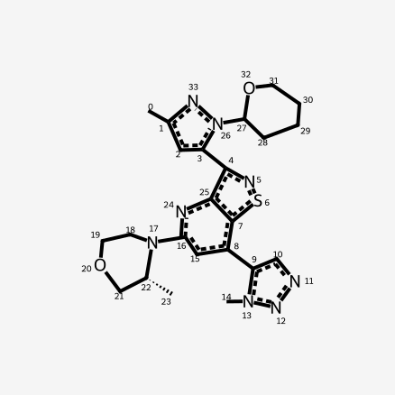 Cc1cc(-c2nsc3c(-c4cnnn4C)cc(N4CCOC[C@H]4C)nc23)n(C2CCCCO2)n1